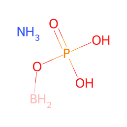 BOP(=O)(O)O.N